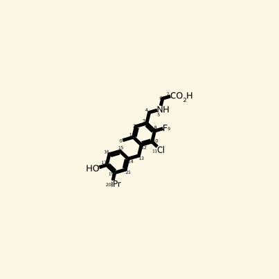 Cc1cc(CNCC(=O)O)c(F)c(Cl)c1Cc1ccc(O)c(C(C)C)c1